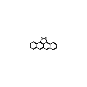 c1ccc2c3c4c(c5ccccc5cc4cc2c1)SS3